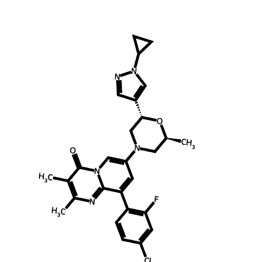 Cc1nc2c(-c3ccc(Cl)cc3F)cc(N3C[C@H](C)O[C@@H](c4cnn(C5CC5)c4)C3)cn2c(=O)c1C